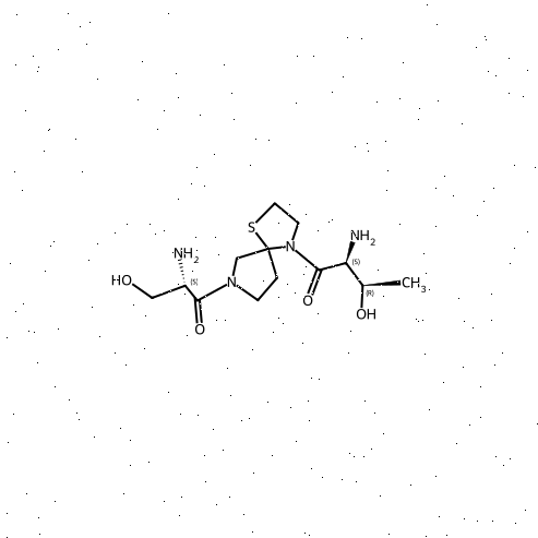 C[C@@H](O)[C@H](N)C(=O)N1CCSC12CCN(C(=O)[C@@H](N)CO)C2